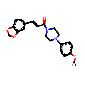 COc1ccc(N2CCN(C(=O)C=Cc3ccc4c(c3)OCO4)CC2)cc1